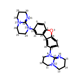 c1cc2oc3ccc(N4CCCN5CCCN=C54)cc3c2cc1N1CCCN2CCCN=C21